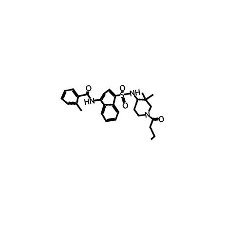 CCCC(=O)N1CCC(NS(=O)(=O)c2ccc(NC(=O)c3ccccc3C)c3ccccc23)C(C)(C)C1